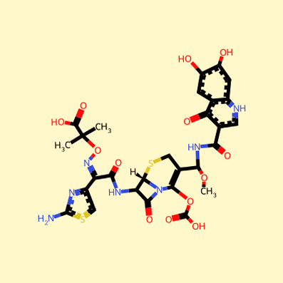 COC(NC(=O)c1c[nH]c2cc(O)c(O)cc2c1=O)C1=C(OC(=O)O)N2C(=O)C(NC(=O)/C(=N\OC(C)(C)C(=O)O)c3csc(N)n3)[C@@H]2SC1